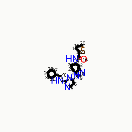 C[C@H](Nc1nccc(-n2cnc3cc(NC(=O)c4cccs4)ccc32)n1)c1ccccc1